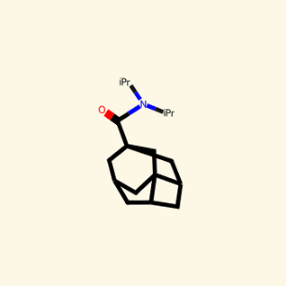 CC(C)N(C(=O)C12CC3CC4CC(C1)C4(C3)C2)C(C)C